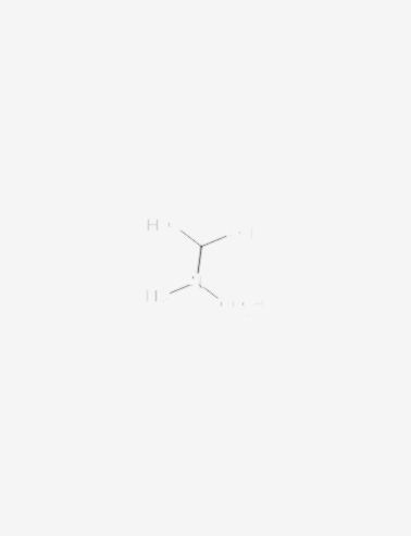 CC(O)N(S)C(=O)O